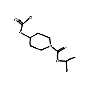 CC(C)OC(=O)N1CCC(OC(=O)Cl)CC1